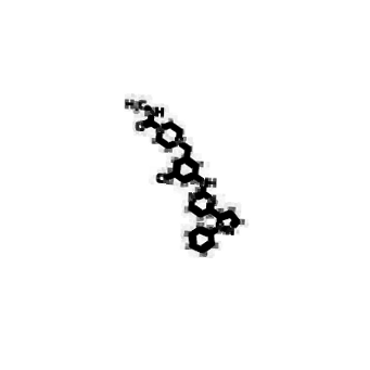 CNC(=O)N1CCN(Cc2cc(Cl)cc(Nc3nccc(-c4ccnn4-c4ccccc4)n3)c2)CC1